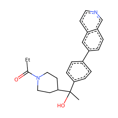 CCC(=O)N1CCC(C(C)(O)c2ccc(-c3ccc4cnccc4c3)cc2)CC1